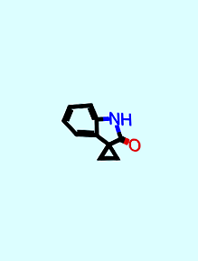 O=C1Nc2ccccc2C12CC2